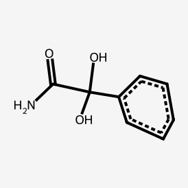 NC(=O)C(O)(O)c1ccccc1